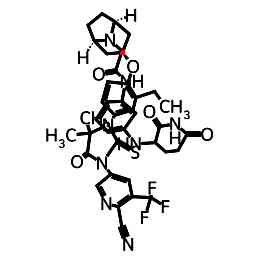 CCc1cc(N2C(=S)N(c3cnc(C#N)c(C(F)(F)F)c3)C(=O)C2(C)C)ccc1O[C@H]1C[C@H]2CC[C@@H](C1)N2CC(=O)Nc1cccc(NC2CCC(=O)NC2=O)c1